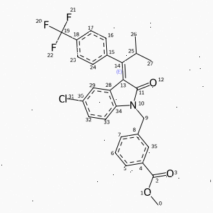 COC(=O)c1cccc(CN2C(=O)/C(=C(/c3ccc(C(F)(F)F)cc3)C(C)C)c3cc(Cl)ccc32)c1